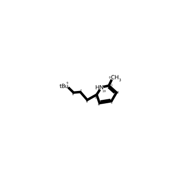 CC1=CC=CC(CCCC(C)(C)C)N1